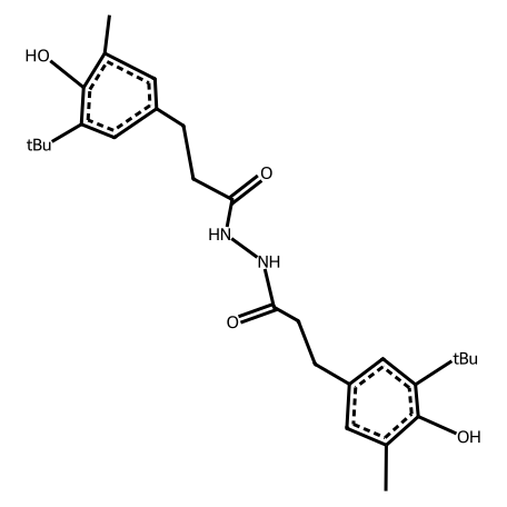 Cc1cc(CCC(=O)NNC(=O)CCc2cc(C)c(O)c(C(C)(C)C)c2)cc(C(C)(C)C)c1O